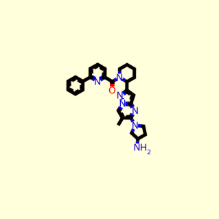 Cc1cn2nc(C3CCCCN3C(=O)c3cccc(-c4ccccc4)n3)cc2nc1N1CCC(N)C1